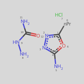 CCCc1nnc(N)o1.Cl.NNC(N)=O